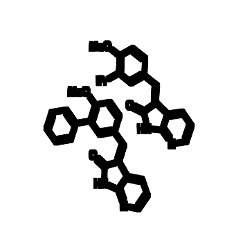 COc1ccc(C=C2C(=O)Nc3ncccc32)cc1-c1ccccc1.COc1ccc(C=C2C(=O)Nc3ncccc32)cc1C(C)C